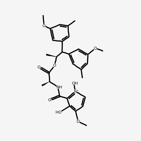 COc1cc(C)cc(C(c2cc(C)cc(OC)c2)[C@H](C)OC(=O)[C@H](C)NC(=O)c2c(O)c(OC)cc[n+]2O)c1